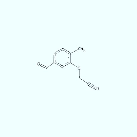 C#CCOc1cc(C=O)ccc1C